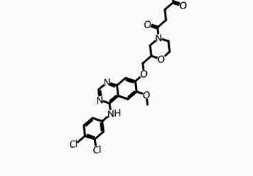 COC(=O)CCC(=O)N1CCOC(COc2cc3ncnc(Nc4ccc(Cl)c(Cl)c4)c3cc2OC)C1